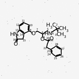 CC(C)(C)NCC(COc1cccc2c1CC(=O)N2)OC(=O)Cc1ccccc1